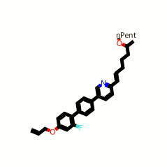 C=CCOc1ccc(-c2ccc(-c3ccc(/C=C/CCCC(C)OCCCCC)nc3)cc2)c(F)c1